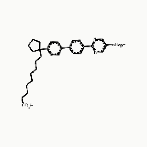 CCCCCCCc1cnc(-c2ccc(-c3ccc(C4(CCCCCCCCC(=O)O)CCCC4)cc3)cc2)nc1